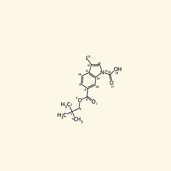 CC(C)(C)COC(=O)c1ccc2c(I)cn(C(=O)O)c2c1